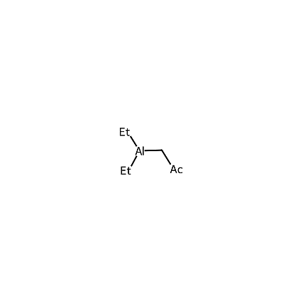 C[CH2][Al]([CH2]C)[CH2]C(C)=O